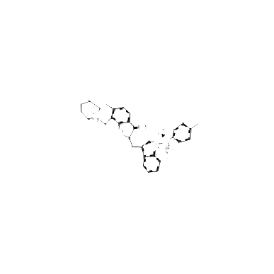 Cc1ccc(S(=O)(=O)n2cc(CC3Oc4c(ccc(C)c4CN4CCCCC4)C3=O)c3ccccc32)cc1